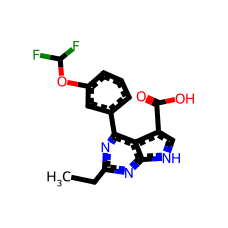 CCc1nc(-c2cccc(OC(F)F)c2)c2c(C(=O)O)c[nH]c2n1